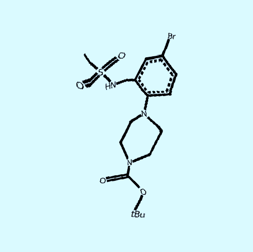 CC(C)(C)OC(=O)N1CCN(c2ccc(Br)cc2NS(C)(=O)=O)CC1